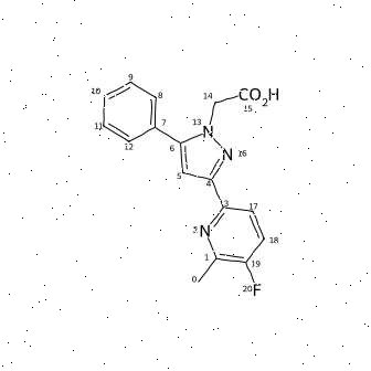 Cc1nc(-c2cc(-c3ccccc3)n(CC(=O)O)n2)ccc1F